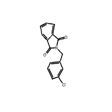 O=C1c2ccccc2C(=O)N1Cc1cccc(Cl)c1